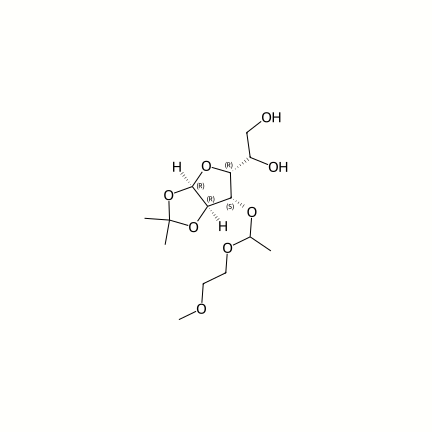 COCCOC(C)O[C@@H]1[C@H]2OC(C)(C)O[C@H]2O[C@@H]1C(O)CO